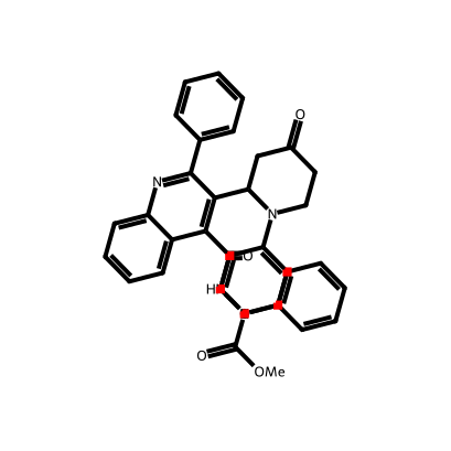 COC(=O)N(NC(=O)c1c(C2CC(=O)CCN2C2=CCOC=C2)c(-c2ccccc2)nc2ccccc12)c1ccccc1